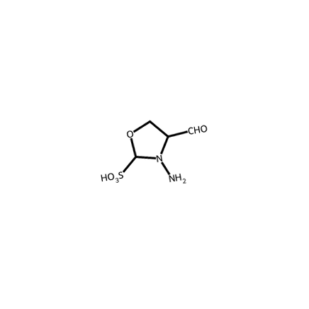 NN1C(C=O)COC1S(=O)(=O)O